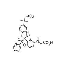 CC(C)(C)CC(C)(C)c1ccc(CC(N)(c2cccc(NCC(=O)O)n2)S(=O)(=O)c2ccccn2)cc1